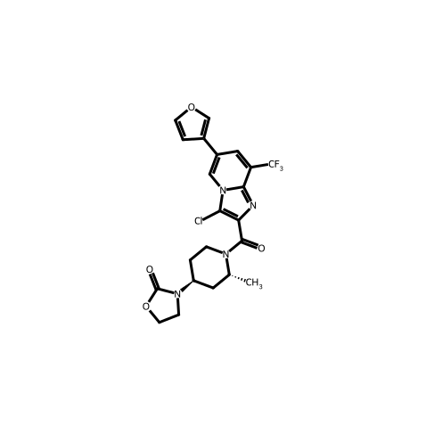 C[C@@H]1C[C@@H](N2CCOC2=O)CCN1C(=O)c1nc2c(C(F)(F)F)cc(-c3ccoc3)cn2c1Cl